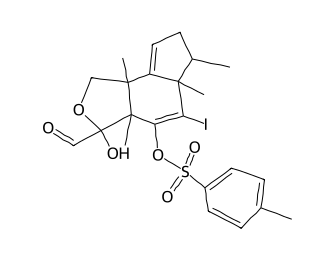 Cc1ccc(S(=O)(=O)OC2=C(I)C3(C)C(=CCC3C)C3(C)COC(O)(C=O)C23C)cc1